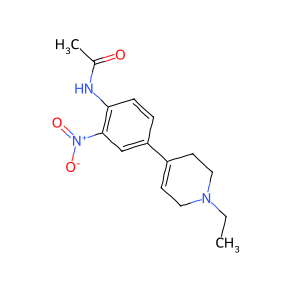 CCN1CC=C(c2ccc(NC(C)=O)c([N+](=O)[O-])c2)CC1